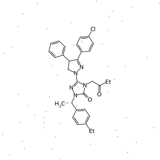 CCC(=O)Cn1c(N2CC(c3ccccc3)C(c3ccc(Cl)cc3)=N2)nn([C@@H](C)c2ccc(CC)cc2)c1=O